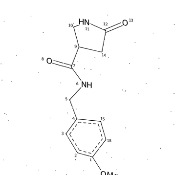 COc1ccc(CNC(=O)C2CNC(=O)C2)cc1